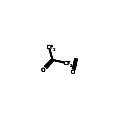 C=O.O=C(C(F)(F)F)C(F)(F)F